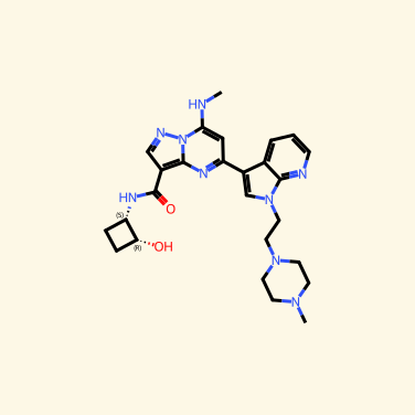 CNc1cc(-c2cn(CCN3CCN(C)CC3)c3ncccc23)nc2c(C(=O)N[C@H]3CC[C@H]3O)cnn12